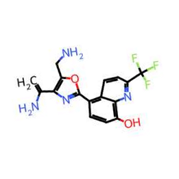 C=C(N)c1nc(-c2ccc(O)c3nc(C(F)(F)F)ccc23)oc1CN